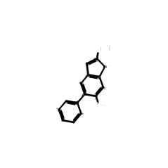 CCCC1=Cc2cc(-c3ccccc3)c(Br)cc2C1